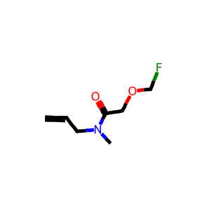 C=CCN(C)C(=O)COCF